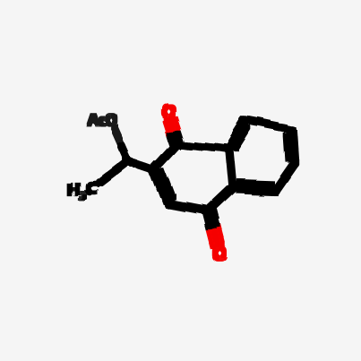 CC(=O)OC(C)C1=CC(=O)c2ccccc2C1=O